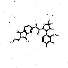 COc1c(C2C(C(=O)Nc3ccc4c(c3)C(=O)N(CCO)C4=O)OC(C)(C(F)(F)F)C2C)ccc(F)c1F